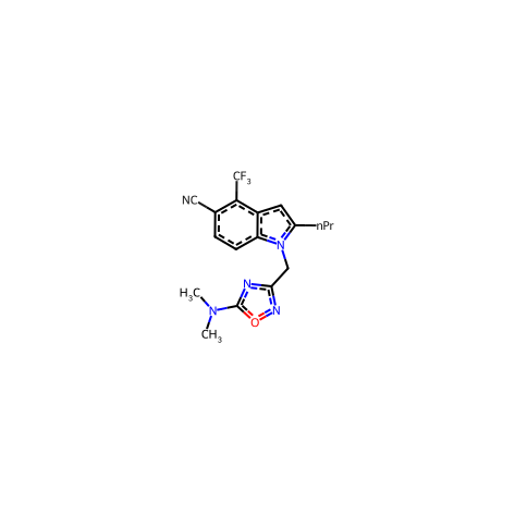 CCCc1cc2c(C(F)(F)F)c(C#N)ccc2n1Cc1noc(N(C)C)n1